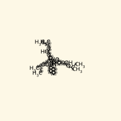 CCCCC(CC)COCC(O)COc1ccc(-c2nc(-c3ccc(OCC(O)COCC(CC)CCCC)cc3OCC(O)COCC(CC)CCCC)nc(-c3ccc4ccc5cccc6ccc3c4c56)n2)c(O)c1